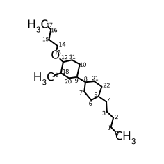 CCCCCC1CCC(C2CCC(OCCCC)C(C)C2)CC1